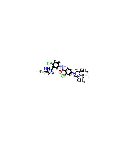 C[C@@H]1CN(c2ccc(C(=O)Nc3ccc(Cl)c(-c4ncc(C(C)(C)C)[nH]4)c3)c(Cl)c2)C[C@H](C)N1C